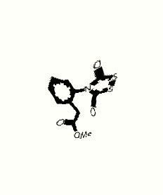 COC(=O)Cc1ccccc1-n1c(=O)ssc1=O